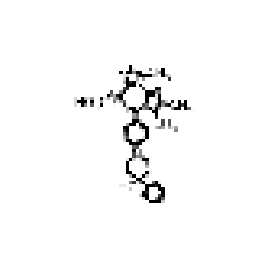 Cc1sc2c(c1C)C(c1ccc(N3CCC(O)(c4ccccc4)CC3)cc1)=N[C@@H](CC(=O)O)c1nnc(C)n1-2